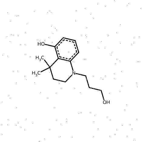 CC1(C)CCN(CCCO)c2cccc(O)c21